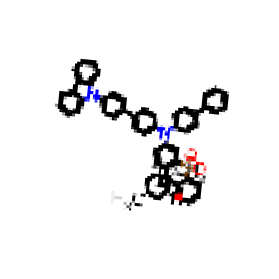 C[C@H]1C[C@@H]2C[C@@H](C)C[C@H](C1)C21c2ccccc2S(=O)(=O)c2cc(N(c3ccc(-c4ccccc4)cc3)c3ccc(-c4ccc(-n5c6ccccc6c6ccccc65)cc4)cc3)ccc21